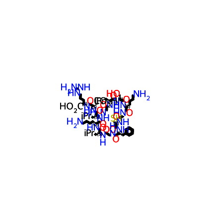 CC(C)C[C@H](NC(=O)CN)C(=O)N[C@@H](CO)C(=O)N[C@@H](CCCCN)C(=O)NCC(=O)N[C@@H](CS)C(=O)N[C@@H](Cc1ccccc1)C(=O)NCC(=O)N[C@@H](CC(C)C)C(=O)N[C@@H](CCCCN)C(=O)N[C@@H](CC(C)C)C(=O)N[C@@H](CC(=O)O)C(=O)N[C@@H](CCCNC(=N)N)C(=O)O